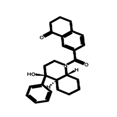 O=C1CCCc2ccc(C(=O)N3CC[C@@](O)(c4ccccc4)[C@@H]4CCCC[C@H]43)cc21